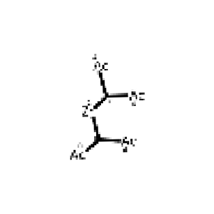 CC(=O)[CH]([Zr][CH](C(C)=O)C(C)=O)C(C)=O